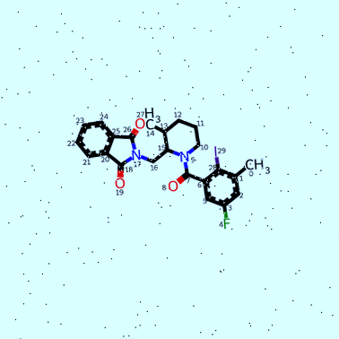 Cc1cc(F)cc(C(=O)N2CCCC(C)C2CN2C(=O)c3ccccc3C2=O)c1I